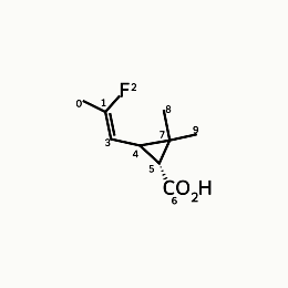 CC(F)=CC1[C@@H](C(=O)O)C1(C)C